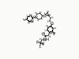 Cc1cnc(N2CCC([C@H]3C[C@H]3CCOc3ccc(CC(=O)NCC(C)(F)F)c(F)c3)CC2)nc1